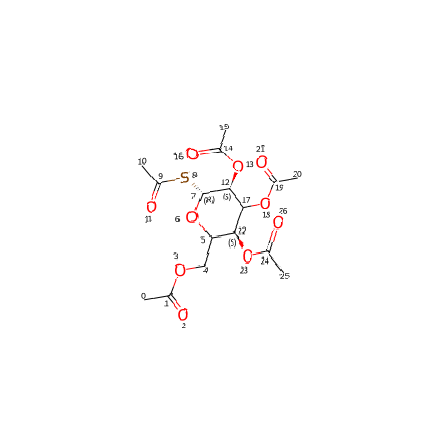 CC(=O)OCC1O[C@H](SC(C)=O)[C@@H](OC(C)=O)C(OC(C)=O)[C@H]1OC(C)=O